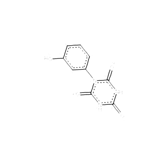 O=c1[nH]c(=O)n(-c2cccc(O)c2)c(=O)[nH]1